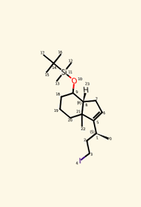 C[C@@H](CCI)C1=CC[C@H]2C(O[Si](C)(C)C(C)(C)C)CCCC12C